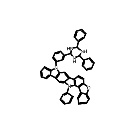 c1ccc(C2NC(c3ccccc3)NC(c3cccc(-n4c5ccccc5c5cc6c(cc54)c4ccc5oc7ccccc7c5c4n6-c4ccccc4)c3)N2)cc1